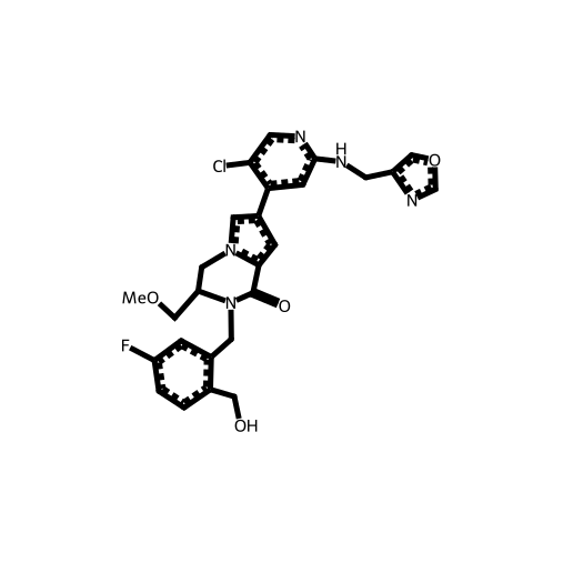 COCC1Cn2cc(-c3cc(NCc4cocn4)ncc3Cl)cc2C(=O)N1Cc1cc(F)ccc1CO